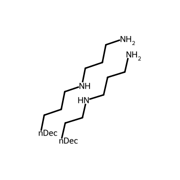 CCCCCCCCCCCCCNCCCN.CCCCCCCCCCCCNCCCN